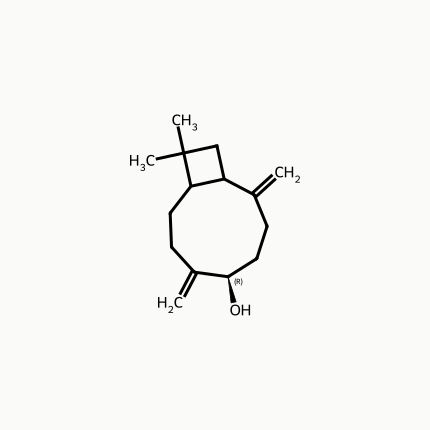 C=C1CC[C@@H](O)C(=C)CCC2C1CC2(C)C